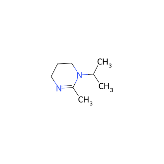 CC1=NCCCN1C(C)C